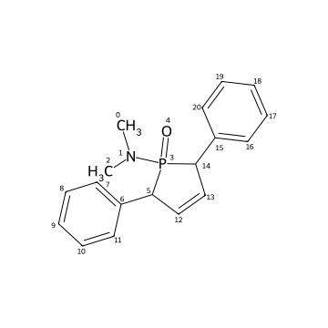 CN(C)P1(=O)C(c2ccccc2)C=CC1c1ccccc1